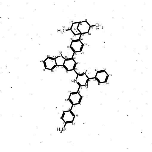 Bc1ccc(-c2ccc(-c3nc(-c4ccccc4)nc(-c4cc(-c5ccc(C67CC(C)CC(CC(C)C6)C7)cc5)c5oc6ccccc6c5c4)n3)cc2)cc1